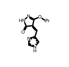 CC(C)OC1=NNC(=O)C1=Cc1c[nH]cn1